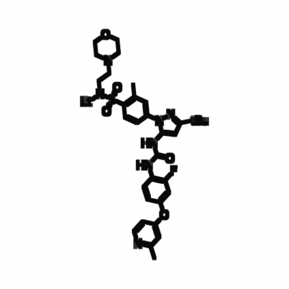 [CH2]CN(CCN1CCOCC1)S(=O)(=O)c1ccc(-n2nc(C(C)(C)C)cc2NC(=O)Nc2ccc(Oc3ccnc(C)c3)cc2F)cc1C